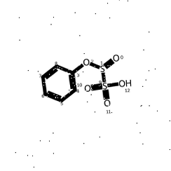 O=S(Oc1ccccc1)S(=O)(=O)O